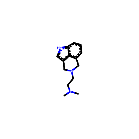 CN(C)CCN1Cc2cccc3[nH]cc(c23)C1